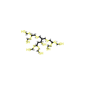 SCSC(CSCC(CSCC(SCS)SCS)C(S)CC(SCS)SCS)SCS